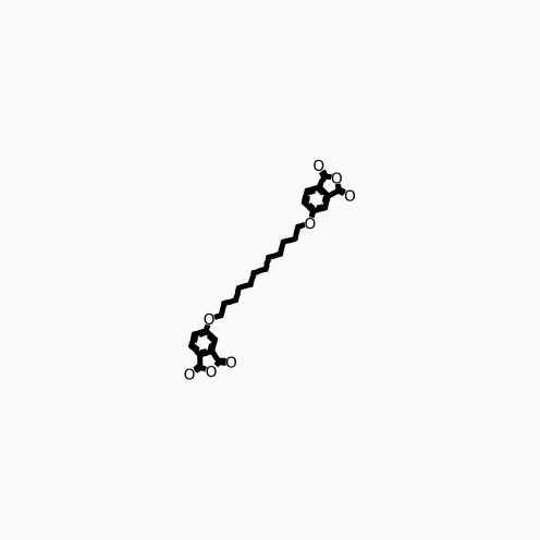 O=C1OC(=O)c2cc(OCCCCCCCCCCCCOc3ccc4c(c3)C(=O)OC4=O)ccc21